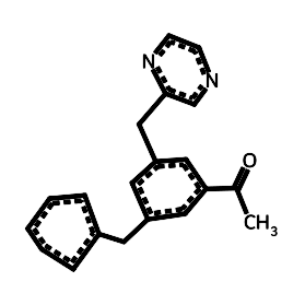 CC(=O)c1cc(Cc2ccccc2)cc(Cc2cnccn2)c1